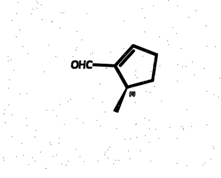 C[C@@H]1CCC=C1C=O